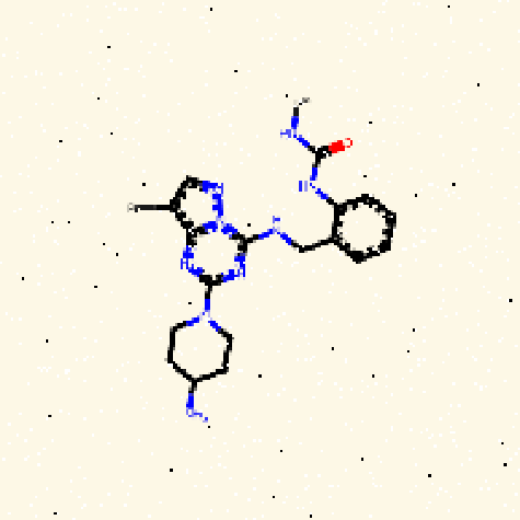 CCCNC(=O)Nc1ccccc1CNc1nc(N2CCC(N)CC2)nc2c(C(C)C)cnn12